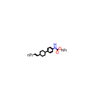 CCC/C=C/C1CCC(c2ccc(NC(=O)OCCC)cc2)CC1